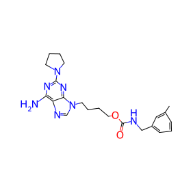 Cc1cccc(CNC(=O)OCCCCn2cnc3c(N)nc(N4CCCC4)nc32)c1